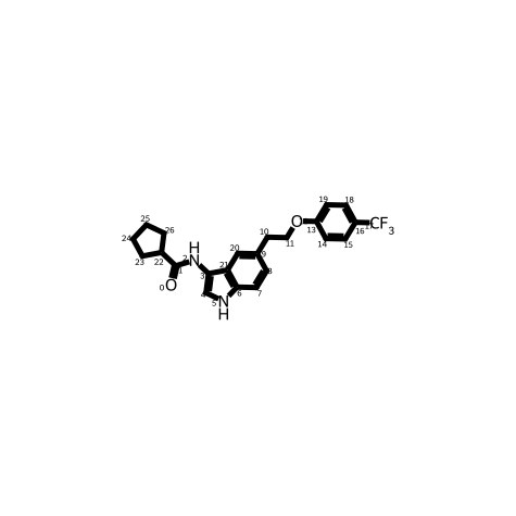 O=C(Nc1c[nH]c2ccc(CCOc3ccc(C(F)(F)F)cc3)cc12)C1CCCC1